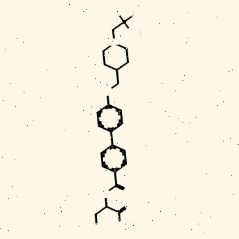 COC(=O)C(CO)NC(=O)c1ccc(-c2ccc(OCC3CCN(CC(C)(C)F)CC3)cc2)cc1